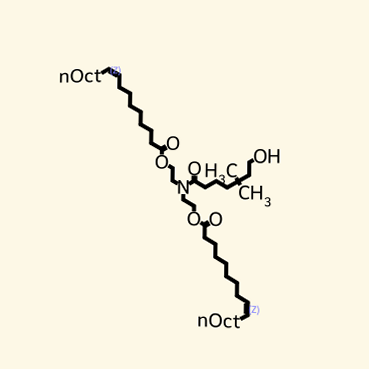 CCCCCCCC/C=C\CCCCCCCC(=O)OCCN(CCOC(=O)CCCCCCC/C=C\CCCCCCCC)C(=O)CCCC(C)(C)CCO